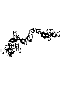 CC1=C(C(=O)Nc2ccc3[nH]nc(-c4ccnc(N5CCO[C@@H](CN6CCN(CC7CCN(c8ccc9c(c8)C(=O)N(C8CCC(=O)NC8=O)C9=O)CC7)CC6)C5)c4)c3c2)C(C)(C)n2nnnc2N1C